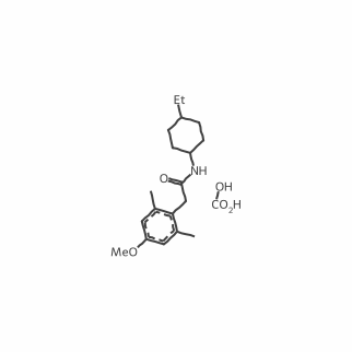 CCC1CCC(NC(=O)Cc2c(C)cc(OC)cc2C)CC1.O=C(O)O